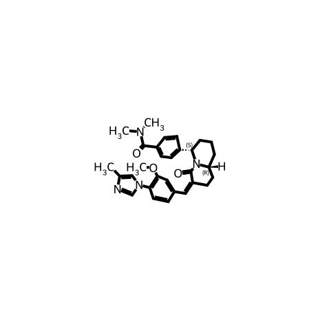 COc1cc(C=C2CC[C@H]3CCC[C@@H](c4ccc(C(=O)N(C)C)cc4)N3C2=O)ccc1-n1cnc(C)c1